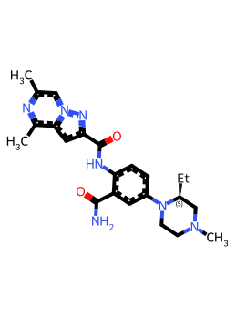 CC[C@H]1CN(C)CCN1c1ccc(NC(=O)c2cc3c(C)nc(C)cn3n2)c(C(N)=O)c1